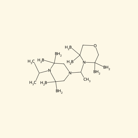 BC1(B)CN(C(C)N2C(B)(B)COCC2(B)B)CC(B)(B)N1C(C)C